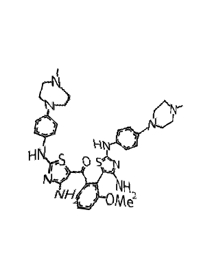 COc1cccc(C(=O)c2sc(Nc3ccc(N4CCN(C)CC4)cc3)nc2N)c1-c1sc(Nc2ccc(N3CCN(C)CC3)cc2)nc1N